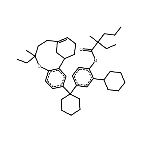 CCCC(C)(CC)C(=O)Oc1ccc(C2(c3ccc4c(c3)C3CCC=C(CCC(C)(CC)O4)C3)CCCCC2)cc1C1CCCCC1